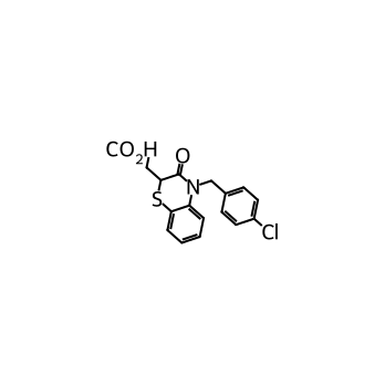 O=C(O)CC1Sc2ccccc2N(Cc2ccc(Cl)cc2)C1=O